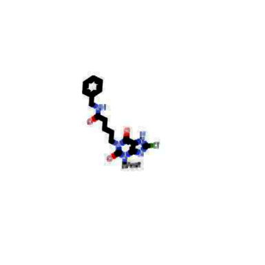 CCCCCn1c(=O)n(CCCCC(=O)NCc2ccccc2)c(=O)c2[nH]c(Cl)nc21